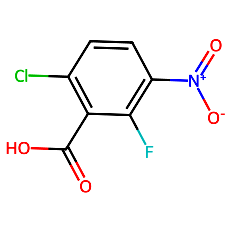 O=C(O)c1c(Cl)ccc([N+](=O)[O-])c1F